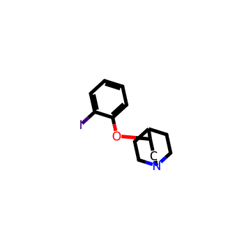 Ic1ccccc1OC1CN2CCC1CC2